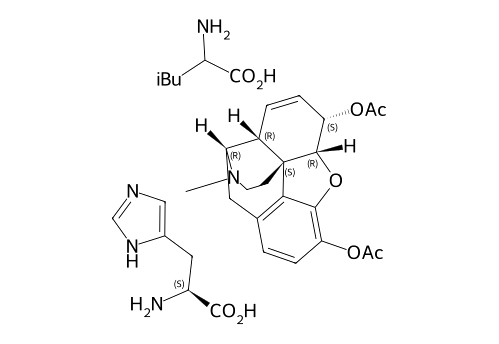 CC(=O)Oc1ccc2c3c1O[C@H]1[C@@H](OC(C)=O)C=C[C@H]4[C@@H](C2)N(C)CC[C@@]341.CCC(C)C(N)C(=O)O.N[C@@H](Cc1cnc[nH]1)C(=O)O